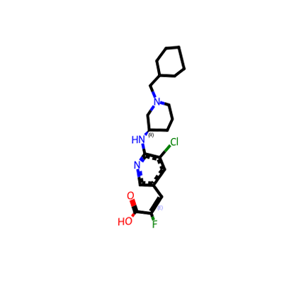 O=C(O)/C(F)=C\c1cnc(N[C@@H]2CCCN(CC3CCCCC3)C2)c(Cl)c1